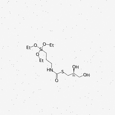 CCO[Si](CCCNC(=O)SC[C@@H](O)CO)(OCC)OCC